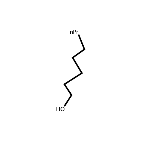 C[CH]CCCCCCO